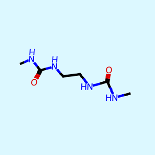 CNC(=O)NCCNC(=O)NC